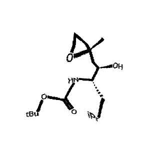 CC(C)C[C@H](NC(=O)OC(C)(C)C)[C@H](O)[C@@]1(C)CO1